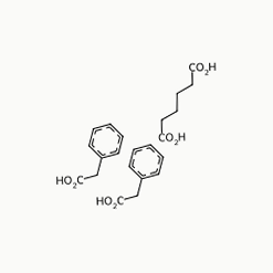 O=C(O)CCCCC(=O)O.O=C(O)Cc1ccccc1.O=C(O)Cc1ccccc1